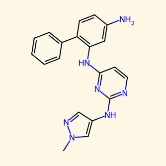 Cn1cc(Nc2nccc(Nc3cc(N)ccc3-c3ccccc3)n2)cn1